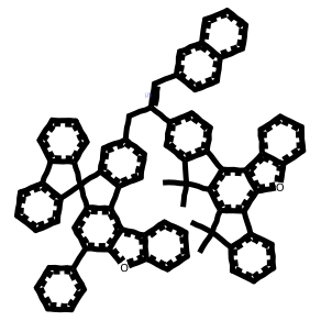 CC1(C)c2ccccc2-c2c1c1c(c3c2oc2ccccc23)-c2ccc(/C(=C\c3ccc4ccccc4c3)Cc3ccc4c(c3)C3(c5ccccc5-c5ccccc53)c3cc(-c5ccccc5)c5oc6ccccc6c5c3-4)cc2C1(C)C